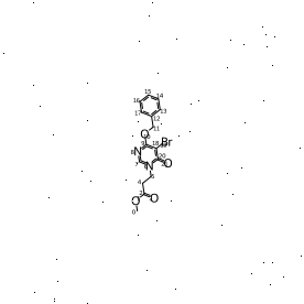 COC(=O)CCn1cnc(OCc2ccccc2)c(Br)c1=O